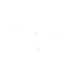 N#Cc1nccc(N)n1